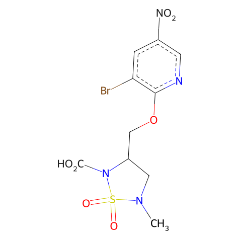 CN1CC(COc2ncc([N+](=O)[O-])cc2Br)N(C(=O)O)S1(=O)=O